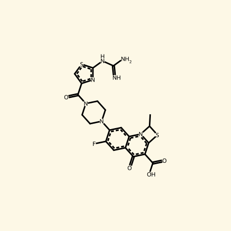 CC1Sc2c(C(=O)O)c(=O)c3cc(F)c(N4CCN(C(=O)c5csc(NC(=N)N)n5)CC4)cc3n21